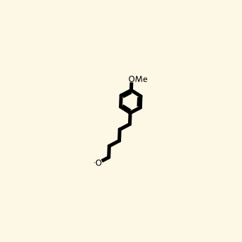 COc1ccc(CCCCC[O])cc1